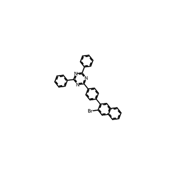 Brc1cc2ccccc2cc1-c1ccc(-c2nc(-c3ccccc3)nc(-c3ccccc3)n2)cc1